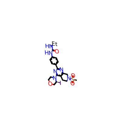 CCNC(=O)Nc1ccc(-c2nc3c(c(N4CCOC[C@@H]4I)n2)CCN(S(C)(=O)=O)C3)cc1